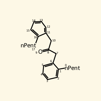 CCCCCc1ccccc1CC(=O)Cc1ccccc1CCCCC